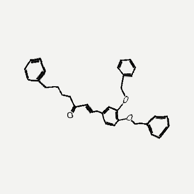 O=C(/C=C/c1ccc(OCc2ccccc2)c(OCc2ccccc2)c1)CCCCc1ccccc1